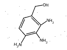 Nc1ccc(CO)c(N)c1N